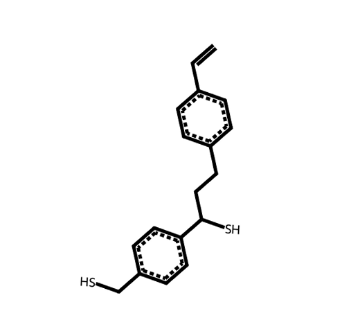 C=Cc1ccc(CCC(S)c2ccc(CS)cc2)cc1